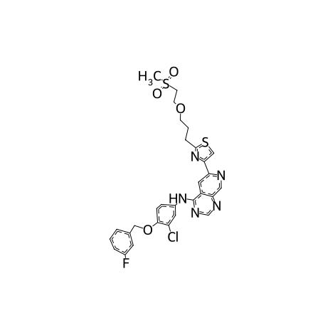 CS(=O)(=O)CCOCCCc1nc(-c2cc3c(Nc4ccc(OCc5cccc(F)c5)c(Cl)c4)ncnc3cn2)cs1